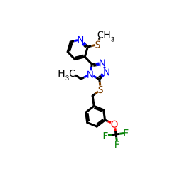 CCn1c(SCc2cccc(OC(F)(F)F)c2)nnc1-c1cccnc1SC